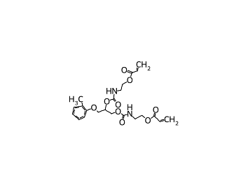 C=CC(=O)OCCNC(=O)OCC(COc1ccccc1C)OC(=O)NCCOC(=O)C=C